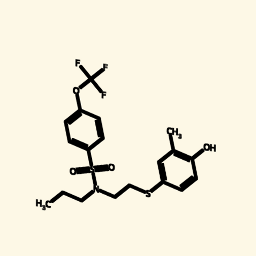 CCCN(CCSc1ccc(O)c(C)c1)S(=O)(=O)c1ccc(OC(F)(F)F)cc1